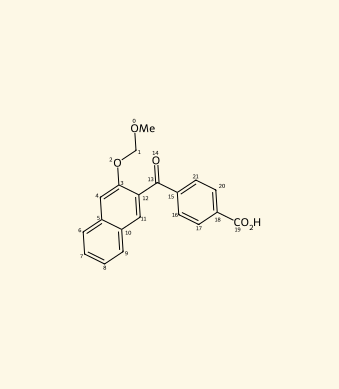 COCOc1cc2ccccc2cc1C(=O)c1ccc(C(=O)O)cc1